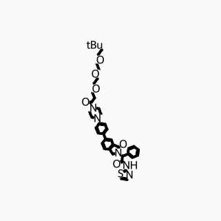 CC(C)(C)CCOCCOCCOCCC(=O)N1CCN(c2ccc(-c3ccc4c(c3)C(=O)N(C(C(=O)Nc3nccs3)c3ccccc3)C4)cc2)CC1